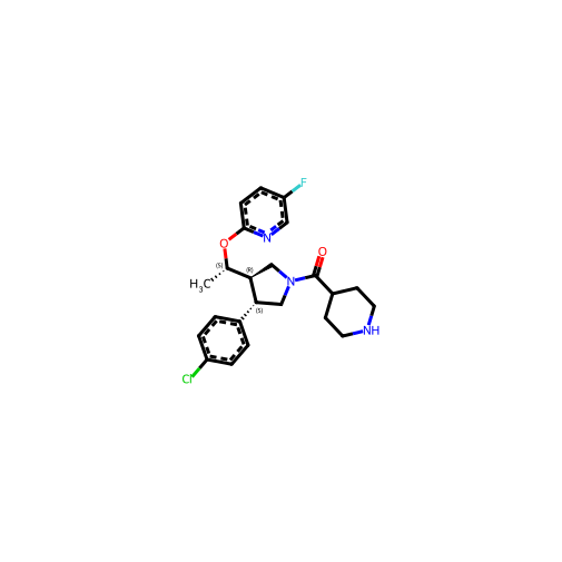 C[C@H](Oc1ccc(F)cn1)[C@H]1CN(C(=O)C2CCNCC2)C[C@@H]1c1ccc(Cl)cc1